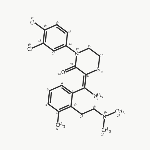 Cc1cccc(C(N)=C2SCCN(c3ccc(Cl)c(Cl)c3)C2=O)c1CCN(C)C